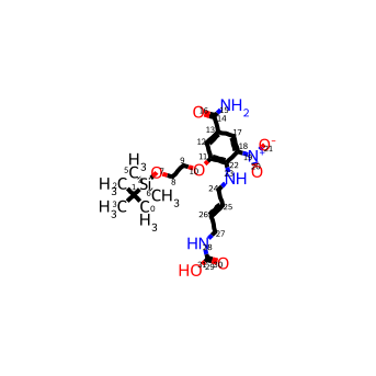 CC(C)(C)[Si](C)(C)OCCOc1cc(C(N)=O)cc([N+](=O)[O-])c1NCC=CCNC(=O)O